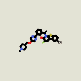 C[C@H](c1cccc(-c2ncc(OCC3CCN(C)CC3)cn2)c1)n1c(=O)c(F)cc2c3cc(C#N)ccc3sc21